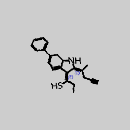 C#CC/C(C)=C1/NC2CC(c3ccccc3)=CC=C2/C1=C(\S)CC